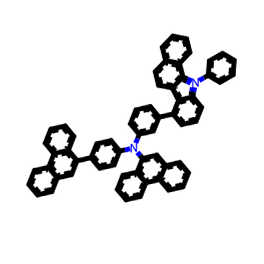 c1ccc(-n2c3cccc(-c4cccc(N(c5ccc(-c6cc7ccccc7c7ccccc67)cc5)c5cc6ccccc6c6ccccc56)c4)c3c3ccc4ccccc4c32)cc1